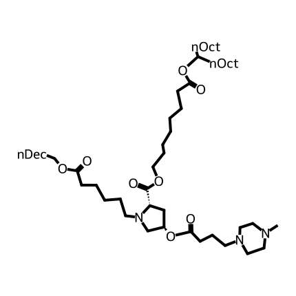 CCCCCCCCCCCOC(=O)CCCCCN1C[C@@H](OC(=O)CCCN2CCN(C)CC2)C[C@H]1C(=O)OCCCCCCCC(=O)OC(CCCCCCCC)CCCCCCCC